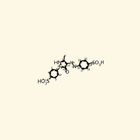 Cc1[nH]n(-c2ccc(S(=O)(=O)O)cc2)c(=O)c1N=Nc1ccc(S(=O)(=O)O)cc1